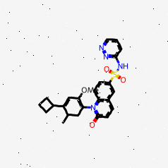 COC1=C(n2c(=O)ccc3cc(S(=O)(=O)Nc4cccnn4)ccc32)CC(C)C(C2CCC2)=C1